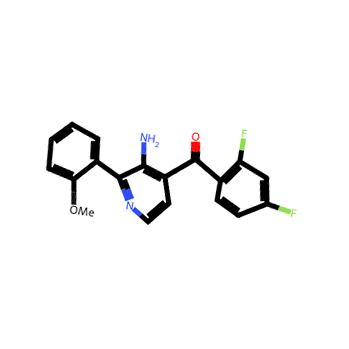 COc1ccccc1-c1nccc(C(=O)c2ccc(F)cc2F)c1N